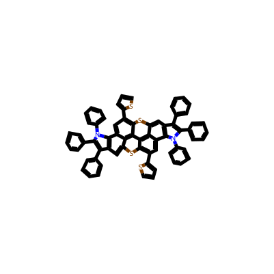 c1ccc(-c2c(-c3ccccc3)n(-c3ccccc3)c3c2cc2sc4c(-c5cccs5)cc5c6c4-c4c(sc6cc6c(-c7ccccc7)c(-c7ccccc7)n(-c7ccccc7)c65)c(-c5cccs5)cc3c42)cc1